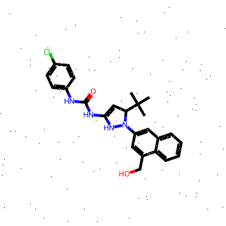 CC(C)(C)C1C=C(NC(=O)Nc2ccc(Cl)cc2)NN1c1cc(CO)c2ccccc2c1